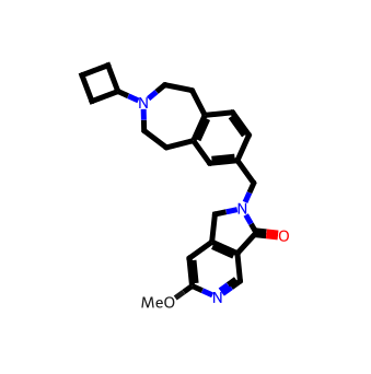 COc1cc2c(cn1)C(=O)N(Cc1ccc3c(c1)CCN(C1CCC1)CC3)C2